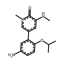 CNc1cc(-c2cc(N)ccc2OC(C)C)cn(C)c1=O